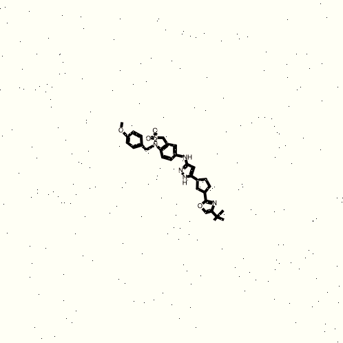 COc1ccc(CN2c3ccc(Nc4cc(C5CCC(c6nc(C(C)(C)C)co6)C5)[nH]n4)cc3CS2(=O)=O)cc1